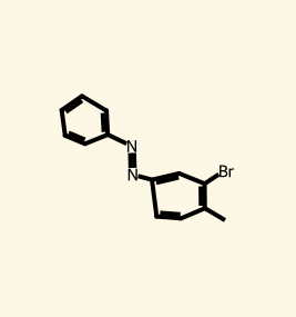 Cc1ccc(N=Nc2ccccc2)cc1Br